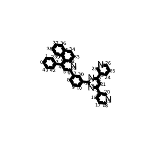 c1ccc(-c2cc(-c3cccc(-c4nc(-c5cccnc5)cc(-c5cccnc5)n4)c3)nc3ccc4ccccc4c23)cc1